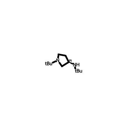 CC(C)(C)N[C@@H]1CCN(C(C)(C)C)C1